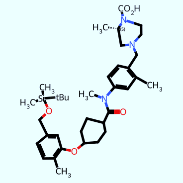 Cc1cc(N(C)C(=O)C2CCC(Oc3cc(CO[Si](C)(C)C(C)(C)C)ccc3C)CC2)ccc1CN1CCN(C(=O)O)[C@@H](C)C1